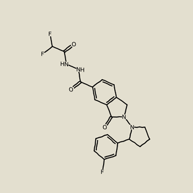 O=C(NNC(=O)C(F)F)c1ccc2c(c1)C(=O)N(N1CCCC1c1cccc(F)c1)C2